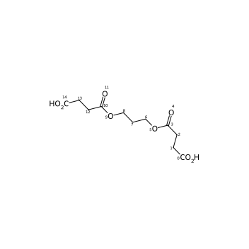 O=C(O)CCC(=O)OCCCOC(=O)CCC(=O)O